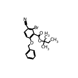 CCC(C)(C)OC(=O)c1c(OCc2ccccc2)ccc(C#N)c1Br